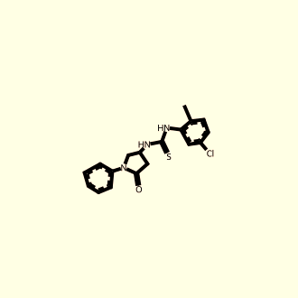 Cc1ccc(Cl)cc1NC(=S)NC1CC(=O)N(c2ccccc2)C1